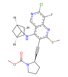 COC(=O)N1CCC[C@@H]1C#Cc1c(SC)nc2c(F)c(Cl)ncc2c1N[C@@H]1[C@@H]2CC[C@H]1C2